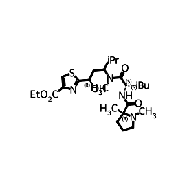 CCOC(=O)c1csc([C@H](O)CC(C(C)C)N(C)C(=O)[C@@H](NC(=O)[C@@]2(C)CCCN2C)[C@@H](C)CC)n1